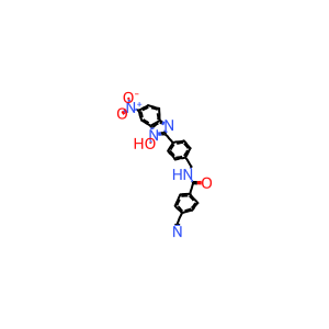 N#Cc1ccc(C(=O)NCc2ccc(-c3nc4ccc([N+](=O)[O-])cc4n3O)cc2)cc1